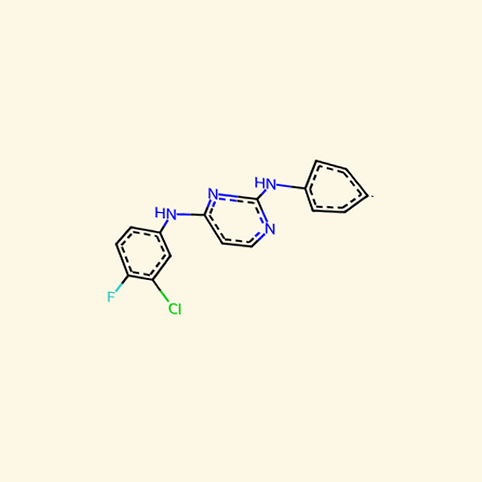 Fc1ccc(Nc2ccnc(Nc3cc[c]cc3)n2)cc1Cl